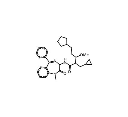 COC(CCC1CCCC1)C(CC1CC1)C(=O)NC1N=C(c2ccccc2)c2ccccc2N(C)C1=O